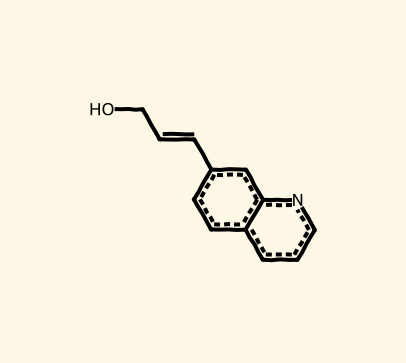 OC/C=C/c1ccc2cccnc2c1